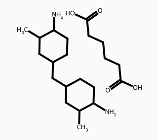 CC1CC(CC2CCC(N)C(C)C2)CCC1N.O=C(O)CCCCC(=O)O